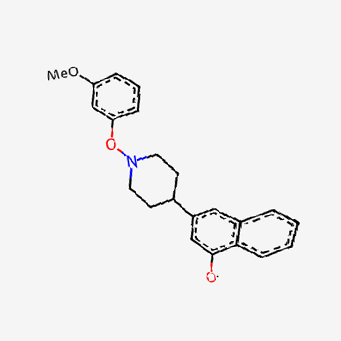 COc1cccc(ON2CCC(c3cc([O])c4ccccc4c3)CC2)c1